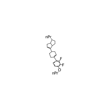 CCCOc1ccc(C2=CCC(C3=CCC4C(CCC)CCC34)CC2)c(F)c1F